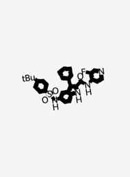 CC(C)(C)c1ccc(S(=O)(=O)Nc2ccc3[nH]c(C(=O)Nc4ccncc4F)c(-c4ccccc4)c3c2)cc1